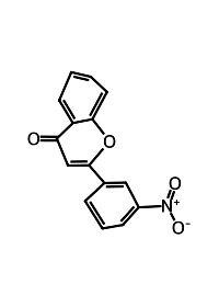 O=c1cc(-c2cccc([N+](=O)[O-])c2)oc2ccccc12